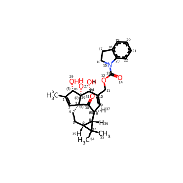 CC1=C[C@@]23CC[C@@H]4[C@H]([C@H](C=C(COC(=O)N5CCc6ccccc65)[C@@H](O)[C@]2(O)[C@H]1O)C3=O)C4(C)C